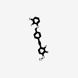 CCOc1ccc(C#Cc2ccc(COc3cccc(F)c3F)cc2)c(F)c1F